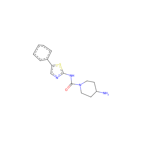 NC1CCN(C(=O)Nc2ncc(-c3ccccc3)s2)CC1